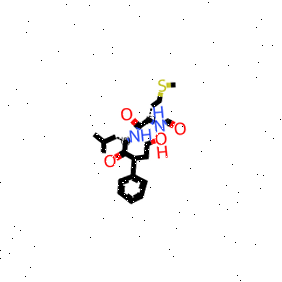 CSCC[C@H](NC=O)C(=O)N[C@@H](CC(C)C)C(=O)C(CCO)c1ccccc1